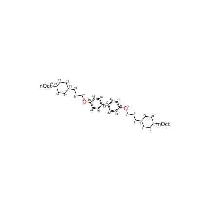 CCCCCCCCC1CCC(CCCOc2ccc(-c3ccc(OCCCC4CCC(CCCCCCCC)CC4)cc3)cc2)CC1